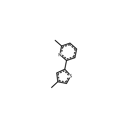 Cc1csc(-c2cccc(C)n2)c1